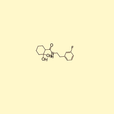 O=C(NCCc1cccc(F)c1)C1CCCCC1(O)O